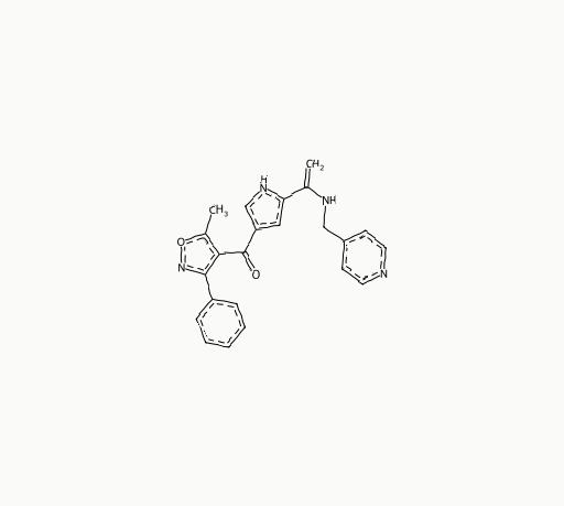 C=C(NCc1ccncc1)c1cc(C(=O)c2c(-c3ccccc3)noc2C)c[nH]1